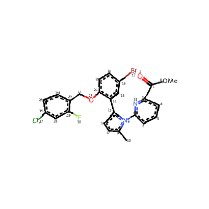 COC(=O)c1cccc(-n2c(C)ccc2-c2cc(Br)ccc2OCc2ccc(Cl)cc2F)n1